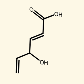 C=CC(O)/C=C/C(=O)O